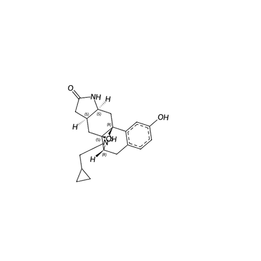 O=C1C[C@@H]2C[C@@]3(O)[C@H]4Cc5ccc(O)cc5[C@@]3(CCN4CC3CC3)C[C@@H]2N1